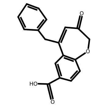 O=C1C=C(Cc2ccccc2)c2cc(C(=O)O)ccc2OC1